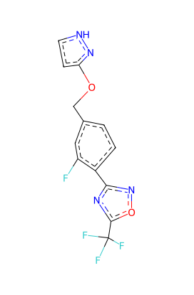 Fc1cc(COc2cc[nH]n2)ccc1-c1noc(C(F)(F)F)n1